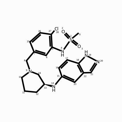 CS(=O)(=O)Nc1cc(CN2CCC[C@H](Nc3ccc4[nH]ncc4c3)C2)ccc1Cl